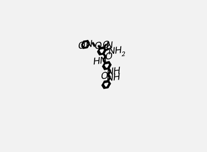 Nc1noc2c(OCCN3CCOCC3)ccc(C(=O)Nc3ccc(NC(=O)Nc4ccccc4)cc3)c12